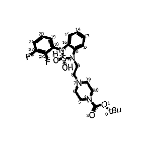 CC(C)(C)OC(=O)N1CCN(CCN2c3ccccc3N(c3cccc(F)c3F)S2(O)O)CC1